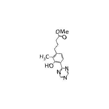 COC(=O)CCCc1ccc(-c2ncncn2)c(O)c1C